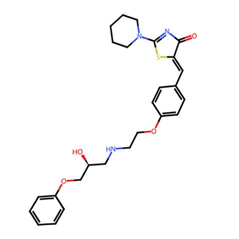 O=C1N=C(N2CCCCC2)SC1=Cc1ccc(OCCNC[C@H](O)COc2ccccc2)cc1